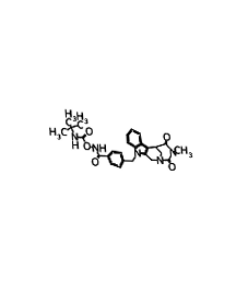 CN1C(=O)C2CN(Cc3c2c2ccccc2n3Cc2ccc(C(=O)NOC(=O)NC(C)(C)C)cc2)C1=O